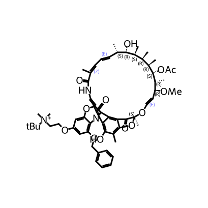 CO[C@H]1/C=C/O[C@@]2(C)Oc3c(C)c(O)c4c(=O)c(c5oc6cc(OCC[N+](C)(C)C(C)(C)C)cc(OCc7ccccc7)c6nc-5c4c3C2=O)NC(=O)/C(C)=C\C=C\[C@H](C)[C@H](O)[C@@H](C)[C@@H](C)[C@@H](C)[C@H](OC(C)=O)[C@@H]1C